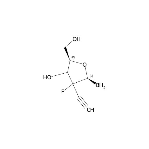 B[C@@H]1O[C@H](CO)C(O)C1(F)C#C